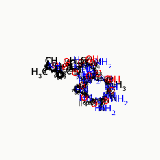 Cc1cc(C)c(/C=C2\C(=O)N(COC(=O)C(C)C(C)C(=O)N[C@@H](CCN)C(=O)N[C@H](C(=O)N[C@H](CCN)C(=O)N[C@H]3CCNC(=O)[C@@H]([C@@H](C)O)NC(=O)[C@@H](CCN)NC(=O)[C@@H](CCN)NC(=O)[C@@H](CC(C)C)NC(=O)[C@@H](Cc4ccccc4)NC(=O)[C@@H](CCN)NC3=O)[C@@H](C)O)c3ccccc32)[nH]1